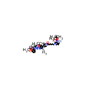 Cc1cc(Nc2ncc(Cl)c(Nc3ccccc3S(=O)(=O)C(C)C)n2)c(OC(C)C)cc1C1CCN(C(=O)CCCCCN2C[C@H](NC(=O)OC(C)(C)C)C3(CC3)C2)CC1